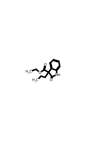 CCCC1(C(=O)OCC)C(=O)Nc2ccccc21